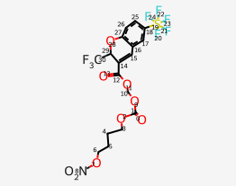 O=C(OCCCCO[N+](=O)[O-])OCOC(=O)C1=Cc2cc(S(F)(F)(F)(F)F)ccc2OC1C(F)(F)F